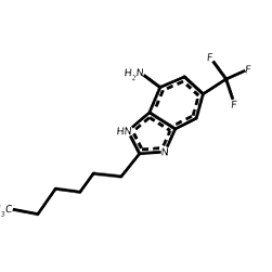 CCCCCCc1nc2cc(C(F)(F)F)cc(N)c2[nH]1